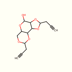 C#CCC1OCC2OC(O)C3OC(CC#C)OC3C2O1